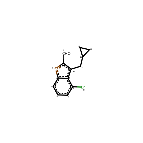 O=Cc1sc2cccc(Br)c2c1CC1CC1